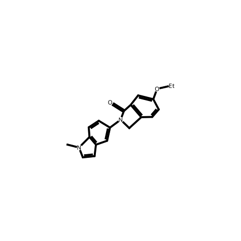 CCOc1ccc2c(c1)C(=O)N(c1ccc3c(ccn3C)c1)C2